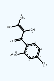 CCCC/C(O)=C(\C#N)C(=O)c1ccc(C(F)(F)F)cc1OC